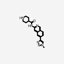 Cn1cc(-c2ccc3cnc(NC(=O)C4CCNCC4)cc3c2)nn1